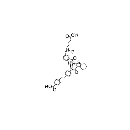 O=C(O)CCCCN(Cc1cccc(C(=O)Nc2sc3c(c2C(=O)Nc2ccc(CCc4ccc(C(=O)O)cc4)cc2)CCCC3)c1)C1CC1